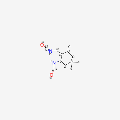 CC1CC(C)(C)CC(N=C=O)C1CN=C=O